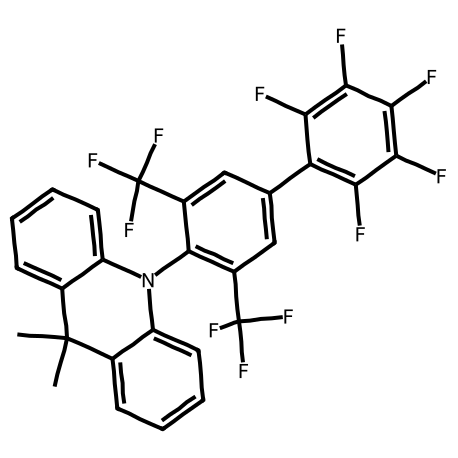 CC1(C)c2ccccc2N(c2c(C(F)(F)F)cc(-c3c(F)c(F)c(F)c(F)c3F)cc2C(F)(F)F)c2ccccc21